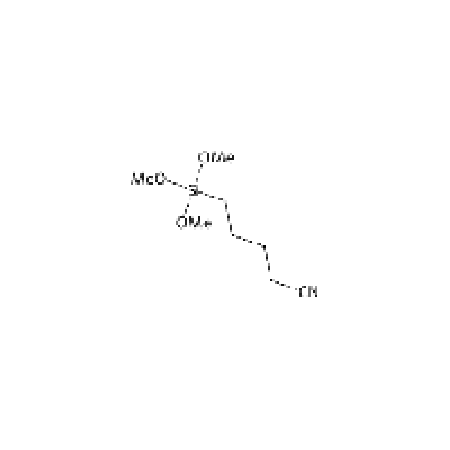 CO[Si](CCCCC#N)(OC)OC